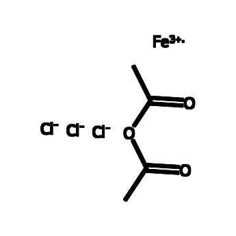 CC(=O)OC(C)=O.[Cl-].[Cl-].[Cl-].[Fe+3]